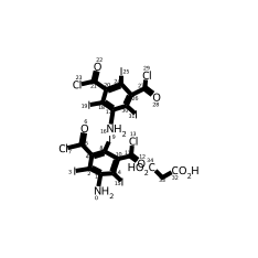 Nc1c(I)c(C(=O)Cl)c(I)c(C(=O)Cl)c1I.Nc1c(I)c(C(=O)Cl)c(I)c(C(=O)Cl)c1I.O=C(O)CC(=O)O